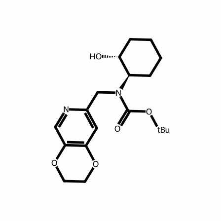 CC(C)(C)OC(=O)N(Cc1cc2c(cn1)OCCO2)[C@@H]1CCCC[C@H]1O